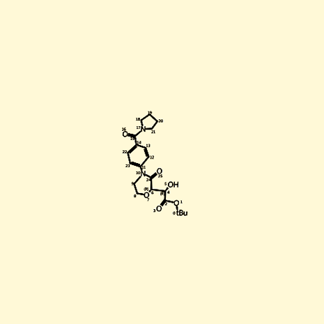 CC(C)(C)OC(=O)[C@H](O)[C@H]1OCCN(c2ccc(C(=O)N3CCCC3)cc2)C1=O